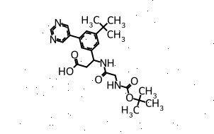 CC(C)(C)OC(=O)NCC(=O)NC(CC(=O)O)c1cc(-c2cncnc2)cc(C(C)(C)C)c1